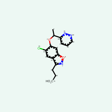 CC(Oc1cc2onc(CCC(=O)O)c2cc1Cl)c1cccnn1